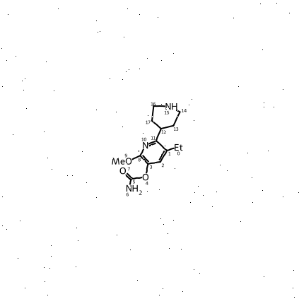 CCc1cc(OC(N)=O)c(OC)nc1C1CCNCC1